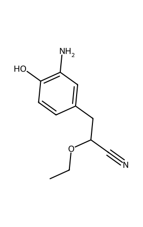 CCOC(C#N)Cc1ccc(O)c(N)c1